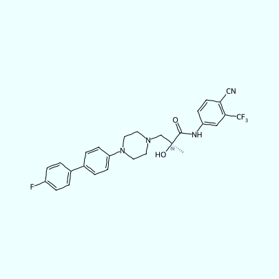 C[C@](O)(CN1CCN(c2ccc(-c3ccc(F)cc3)cc2)CC1)C(=O)Nc1ccc(C#N)c(C(F)(F)F)c1